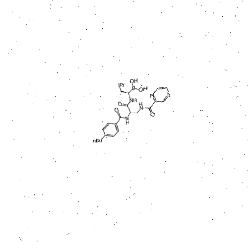 CCCCc1ccc(C(=O)N[C@@H](CNC(=O)c2cnccn2)C(=O)N[C@@H](CC(C)C)B(O)O)cc1